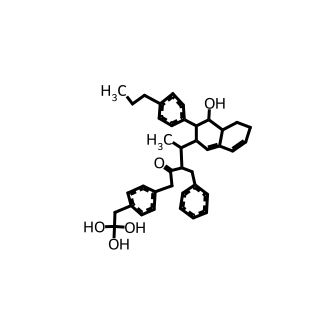 CCCc1ccc(C2C(O)C3CCC=CC3=CC2C(C)C(Cc2ccccc2)C(=O)Cc2ccc(CC(O)(O)O)cc2)cc1